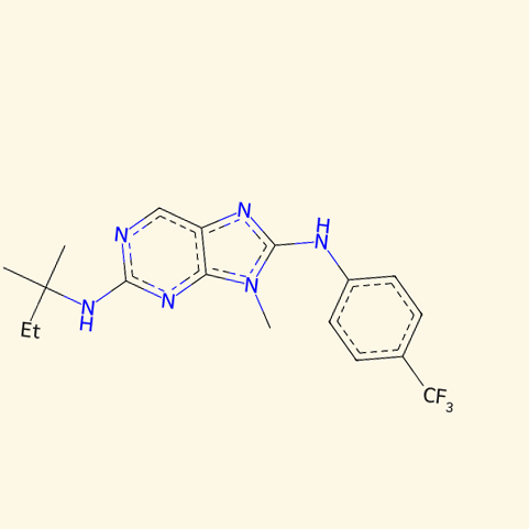 CCC(C)(C)Nc1ncc2nc(Nc3ccc(C(F)(F)F)cc3)n(C)c2n1